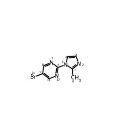 Cc1nccn1-c1ncc(Br)cn1